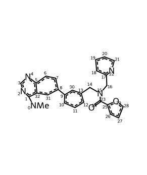 CNc1ncnc2ccc(-c3cccc(CN(Cc4ccccn4)C(=O)c4ccco4)c3)cc12